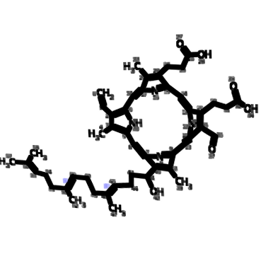 C=Cc1c(C)c2cc3nc(cc4[nH]c(cc5nc(cc1[nH]2)C(C)=C5CCC(=O)O)c(CCC(=O)O)c4C=O)C(C)=C3C(O)CC/C=C(\C)CC/C=C(\C)CCC=C(C)C